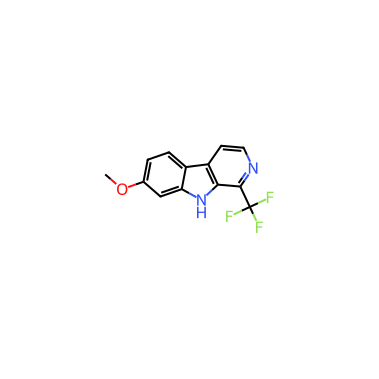 COc1ccc2c(c1)[nH]c1c(C(F)(F)F)nccc12